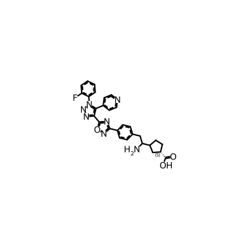 NC(Cc1ccc(-c2noc(-c3nnn(-c4ccccc4F)c3-c3ccncc3)n2)cc1)C1CC[C@H](C(=O)O)C1